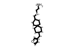 NCCSCC1CCC2(CC1)CCC(Cc1ccoc1)CC2